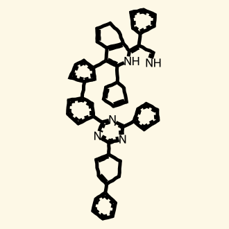 N=C/C(=C1\NC(C2C=CC=CC2)=C(c2cccc(-c3cccc(-c4nc(C5=CC=C(c6ccccc6)CC5)nc(-c5ccccc5)n4)c3)c2)C2=C1CCC=C2)c1ccccc1